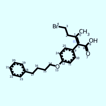 C/C(CCBr)=C(\C(=O)O)c1ccc(OCCCCc2ccccc2)cc1